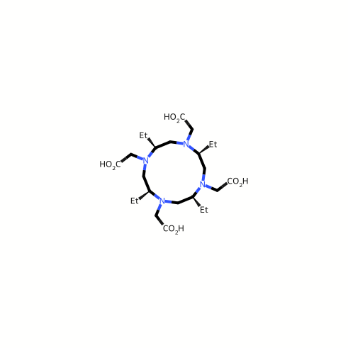 CC[C@H]1CN(CC(=O)O)[C@@H](CC)CN(CC(=O)O)[C@@H](CC)CN(CC(=O)O)[C@@H](CC)CN1CC(=O)O